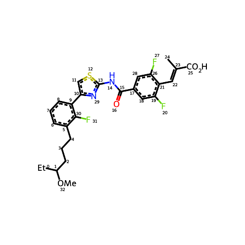 CCC(CCCc1cccc(-c2csc(NC(=O)c3cc(F)c(/C=C(\C)C(=O)O)c(F)c3)n2)c1F)OC